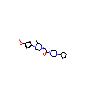 COc1ccc(N2CCN(CC(=O)N3CCN(C4CCCC4)CC3)CC2C)cc1